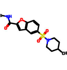 CCNC(=O)c1cc2cc(S(=O)(=O)N3CCC(C)CC3)ccc2o1